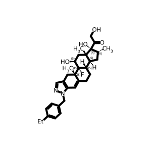 CCc1ccc(Cn2ncc3c2C=C2CC[C@H]4[C@@H]5C[C@@H](C)[C@](O)(C(=O)CO)[C@@]5(C)C[C@H](O)[C@]4(F)[C@@]2(C)C3)cc1